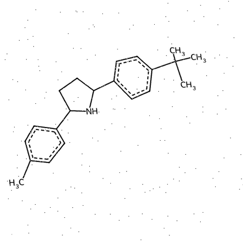 Cc1ccc(C2CCC(c3ccc(C(C)(C)C)cc3)N2)cc1